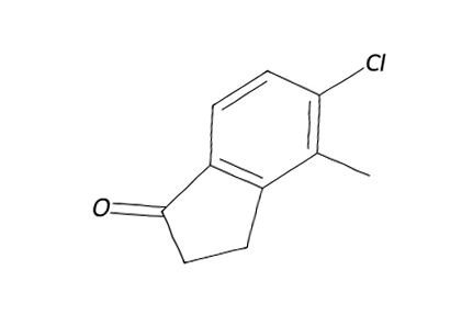 Cc1c(Cl)ccc2c1CCC2=O